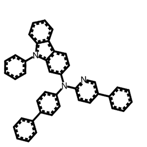 c1ccc(-c2ccc(N(c3ccc4c5ccccc5n(-c5ccccc5)c4c3)c3ccc(-c4ccccc4)cn3)cc2)cc1